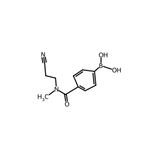 CN(CCC#N)C(=O)c1ccc(B(O)O)cc1